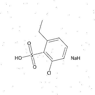 CCc1cccc(Cl)c1S(=O)(=O)O.[NaH]